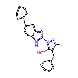 Cc1nn(-c2nc3cc(-c4ccccc4)ccc3[nH]2)c(O)c1Cc1ccccc1